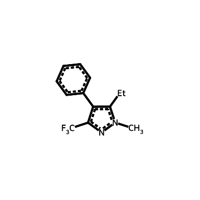 CCc1c(-c2ccccc2)c(C(F)(F)F)nn1C